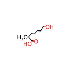 CC(CC/C=C/CO)C(=O)O